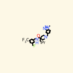 CC(C)CC1(C(=O)NCc2cc(CF)cc(C(F)(F)F)c2)CCN(Cc2ccc3c(c2)nnn3C)CC1